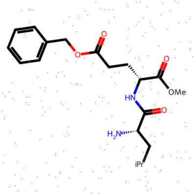 COC(=O)[C@@H](CCC(=O)OCc1ccccc1)NC(=O)[C@@H](N)CC(C)C